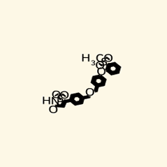 CS(=O)(=O)c1ccccc1Oc1ccc(COCc2ccc(C3=CC(=O)NS3(=O)=O)cc2)cc1